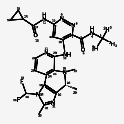 [2H]C([2H])([2H])NC(=O)c1nnc(NC(=O)C2CC2)cc1Nc1nccc2c1N(C)[C@H](C)c1nc(C)n(C(F)F)c1-2